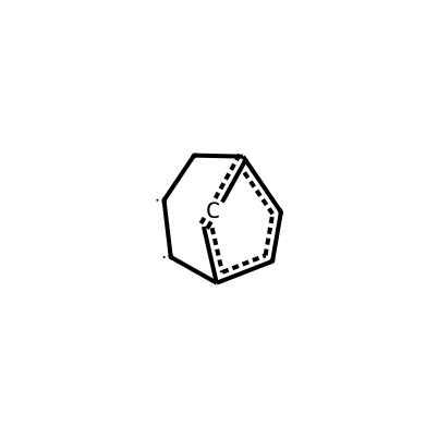 [CH]1[CH]c2ccc(cc2)C1